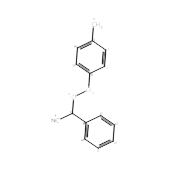 Cc1ccc(OOC(C#N)c2ccccc2)cc1